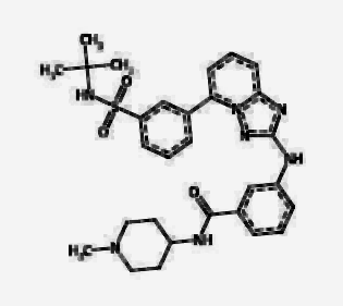 CN1CCC(NC(=O)c2cccc(Nc3nc4cccc(-c5cccc(S(=O)(=O)NC(C)(C)C)c5)n4n3)c2)CC1